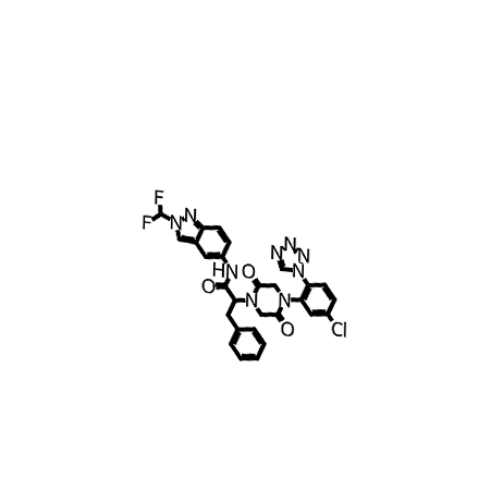 O=C(Nc1ccc2nn(C(F)F)cc2c1)C(Cc1ccccc1)N1CC(=O)N(c2cc(Cl)ccc2-n2cnnn2)CC1=O